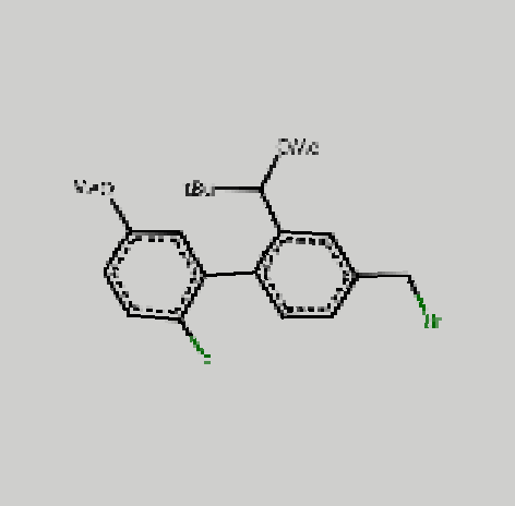 COc1ccc(F)c(-c2ccc(CBr)cc2C(OC)C(C)(C)C)c1